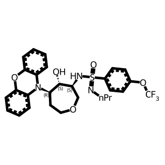 CCCN=S(=O)(N[C@H]1COCC[C@@H](N2c3ccccc3Oc3ccccc32)[C@@H]1O)c1ccc(OC(F)(F)F)cc1